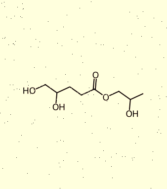 CC(O)COC(=O)CCC(O)CO